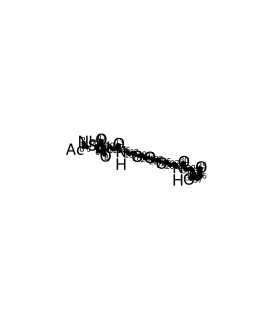 CC(=O)[C@@H](N)CSC1CC(=O)N(CCC(=O)NCCCOCCOCCOCCCNC(=O)CCN2C(=O)C=CC2=O)C1=O